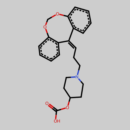 O=C(O)OC1CCN(CCC=C2c3ccccc3OCOc3ccccc32)CC1